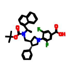 C[C@H](c1cccc2ccccc12)N(C[C@H]1CN(c2c(F)cc(C(=O)O)cc2F)C[C@@H]1c1ccccc1)C(=O)OC(C)(C)C